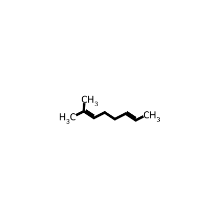 CC=CCCC=C(C)C